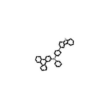 c1ccc(N(c2ccc(-c3ccc4sc5ccccc5c4c3)cc2)c2ccc3c4ccccc4c4ccccc4c3c2)cc1